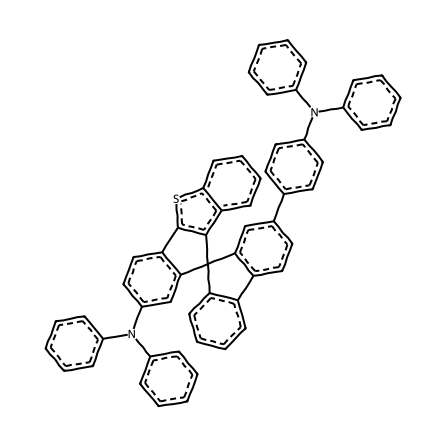 c1ccc(N(c2ccccc2)c2ccc(-c3ccc4c(c3)C3(c5ccccc5-4)c4cc(N(c5ccccc5)c5ccccc5)ccc4-c4sc5ccccc5c43)cc2)cc1